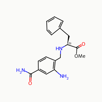 COC(=O)[C@H](Cc1ccccc1)NCc1ccc(C(N)=O)cc1N